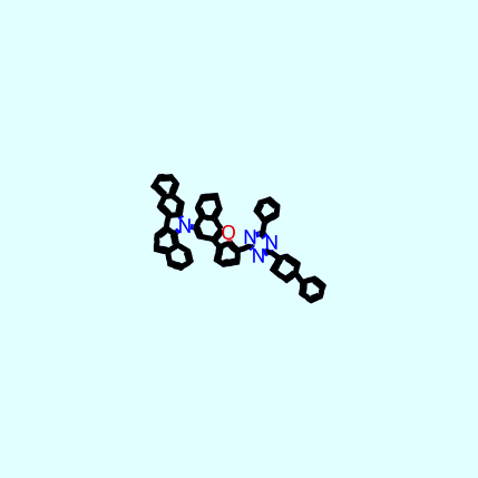 c1ccc(-c2ccc(-c3nc(-c4ccccc4)nc(-c4cccc5c4oc4c6ccccc6c(-n6c7cc8ccccc8cc7c7ccc8ccccc8c76)cc54)n3)cc2)cc1